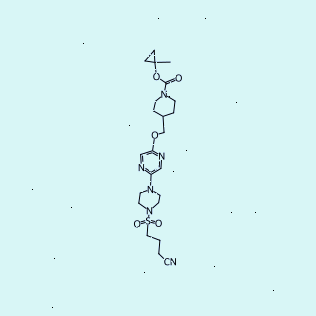 CC1(OC(=O)N2CCC(COc3cnc(N4CCN(S(=O)(=O)CCCC#N)CC4)cn3)CC2)CC1